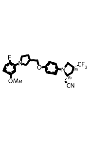 COc1ccc(F)c(N2CCC(COc3ccc(N4C[C@H](C(F)(F)F)C[C@@H]4CC#N)cc3)C2)c1